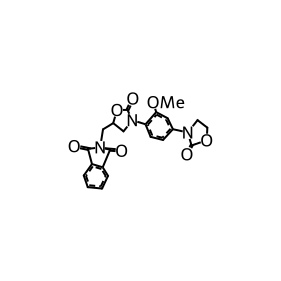 COc1cc(N2CCOC2=O)ccc1N1CC(CN2C(=O)c3ccccc3C2=O)OC1=O